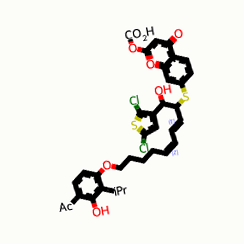 CC(=O)c1ccc(OCCCC/C=C\C=C\C(Sc2ccc3c(=O)cc(OC(=O)O)oc3c2)C(O)c2cc(Cl)sc2Cl)c(C(C)C)c1O